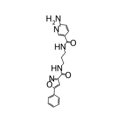 Nc1ccc(C(=O)NCCCNC(=O)c2cc(-c3ccccc3)on2)cn1